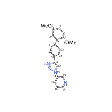 COc1ccc(OC)c(-c2ccc(-c3cn(-c4cccnc4)nn3)cc2)c1